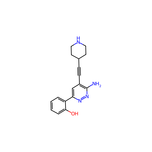 Nc1nnc(-c2ccccc2O)cc1C#CC1CCNCC1